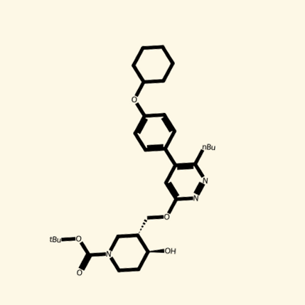 CCCCc1nnc(OC[C@H]2CN(C(=O)OC(C)(C)C)CC[C@@H]2O)cc1-c1ccc(OC2CCCCC2)cc1